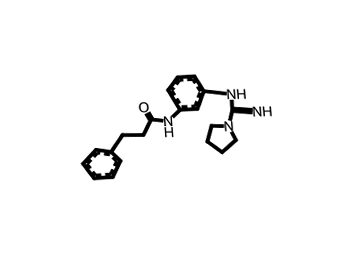 N=C(Nc1cccc(NC(=O)CCc2ccccc2)c1)N1CCCC1